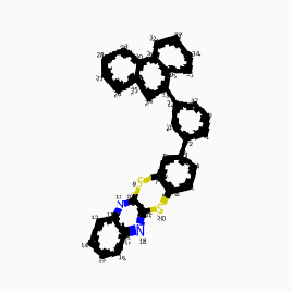 c1cc(-c2ccc3c(c2)Sc2nc4ccccc4nc2S3)cc(-c2cc3ccccc3c3ccccc23)c1